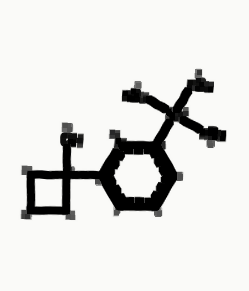 CCC[CH2][Sn]([CH2]CCC)([CH2]CCC)[c]1cccc(C2(O)CCC2)n1